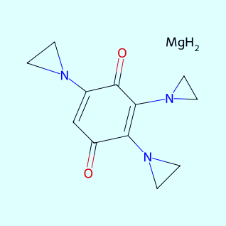 O=C1C=C(N2CC2)C(=O)C(N2CC2)=C1N1CC1.[MgH2]